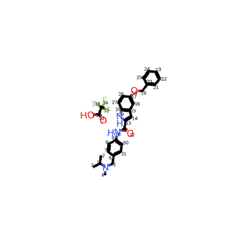 CC(C)N(C)Cc1ccc(NC(=O)c2cc3cc(OCc4ccccc4)ccc3[nH]2)cc1.O=C(O)C(F)(F)F